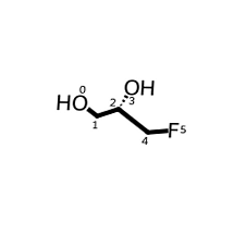 OC[C@H](O)CF